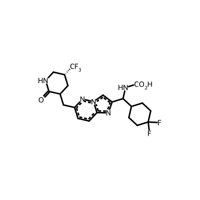 O=C(O)NC(c1cn2nc(CC3C[C@@H](C(F)(F)F)CNC3=O)ccc2n1)C1CCC(F)(F)CC1